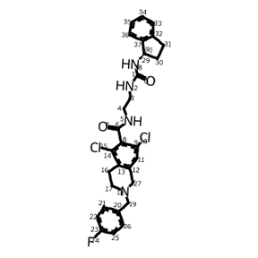 O=C(NCCNC(=O)c1c(Cl)cc2c(c1Cl)CCN(Cc1ccc(F)cc1)C2)N[C@@H]1CCc2ccccc21